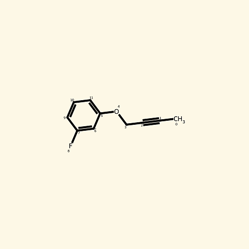 CC#CCOc1[c]c(F)ccc1